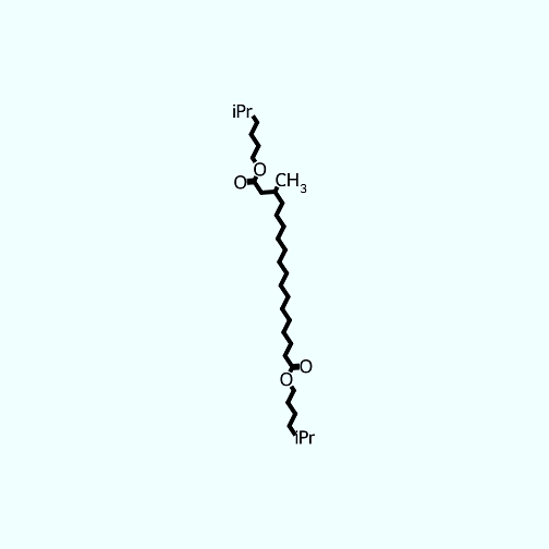 CC(C)CCCCOC(=O)CCCCCCCCCCCCCCC(C)CC(=O)OCCCCC(C)C